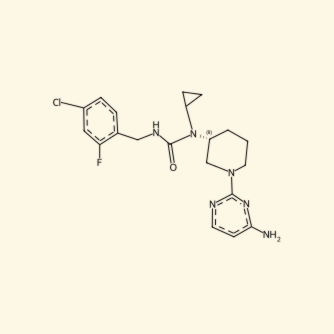 Nc1ccnc(N2CCC[C@@H](N(C(=O)NCc3ccc(Cl)cc3F)C3CC3)C2)n1